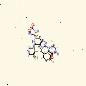 CC1CCC(Cn2c(N3CC(=O)N(C)C[C@H]3C)nc3cc(-c4noc(=O)[nH]4)nc(-c4cncc(Cl)c4)c32)CC1